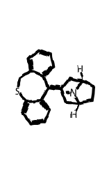 CN1[C@@H]2CC[C@H]1C/C(=C1\c3ccccc3CSc3ccccc31)C2